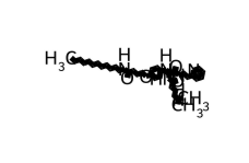 CCCCCCCCCCCCNC(=O)CCCOc1ccc(NC(NC(=O)CCCN(C)C)C(=O)NCCc2ccccn2)cc1